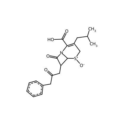 CC(C)CC1=C(C(=O)O)N2C(=O)C(CC(=O)Cc3ccccc3)C2[S+]([O-])C1